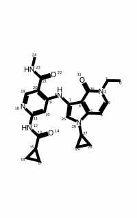 CCn1ccc2c(c(Nc3cc(NC(=O)C4CC4)ncc3C(=O)NC)cn2C2CC2)c1=O